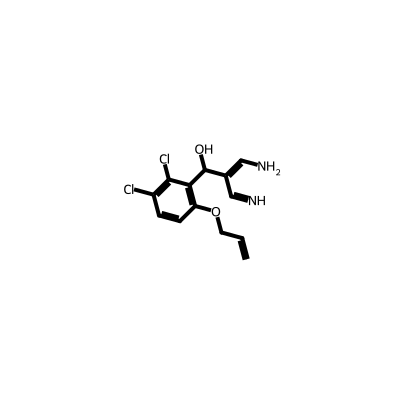 C=CCOc1ccc(Cl)c(Cl)c1C(O)/C(C=N)=C/N